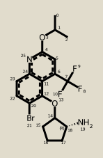 CC(C)Oc1cc(C(F)(F)F)c2c(OC3CCC[C@H]3N)c(Br)ccc2n1